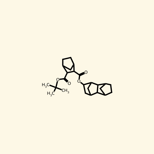 CC(C)(C)OC(=O)C1C2CCC(C2)C1C(=O)OC1CC2CC1C1C3CCC(C3)C21